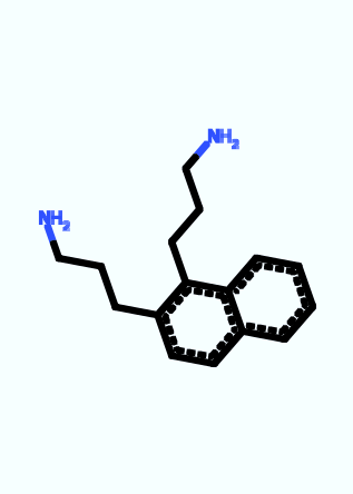 NCCCc1ccc2ccccc2c1CCCN